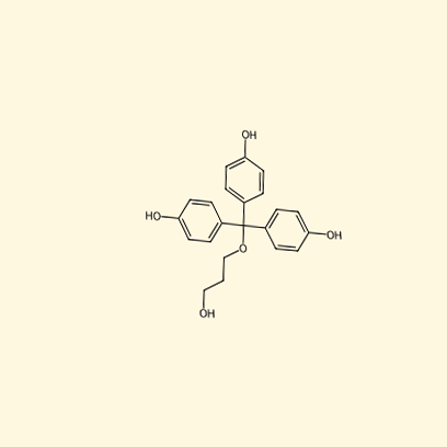 OCCCOC(c1ccc(O)cc1)(c1ccc(O)cc1)c1ccc(O)cc1